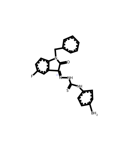 Bc1ccc(NC(=S)N/N=C2\C(=O)N(Cc3ccccc3)c3ccc(F)cc32)cc1